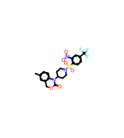 Cc1ccc2c(c1)COC(=O)N2C1CCN(S(=O)(=O)c2ccc(C(F)(F)F)cc2[N+](=O)[O-])CC1